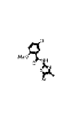 COc1ccc(Cl)cc1C(=O)Nc1nc(C)c(C(C)=O)s1